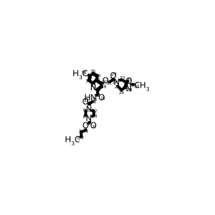 CCCCOC(=O)N1CCN(C(=O)CNC(=O)c2cc(OCC(=O)N3CCc4nc(C)oc4C3)c3ccc(C)cc3n2)CC1